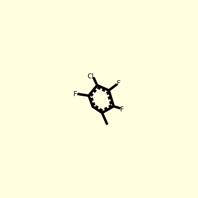 Cc1cc(F)c(Cl)c(F)c1F